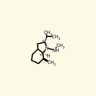 C=C1CCCC2C[C@@H](C(C)C)N(NC)[C@@H]12